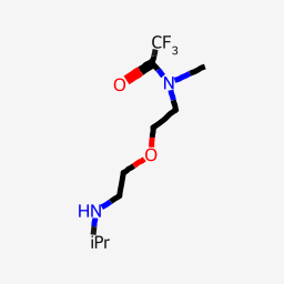 CC(C)NCCOCCN(C)C(=O)C(F)(F)F